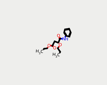 CCCOC(=O)CC(OCCC)C(=O)Nc1ccccc1